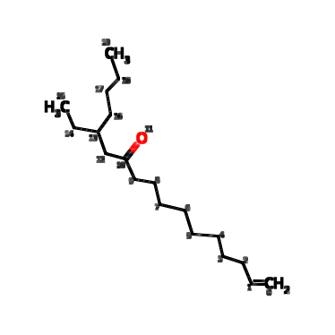 C=CCCCCCCCCC(=O)CC(CC)CCCC